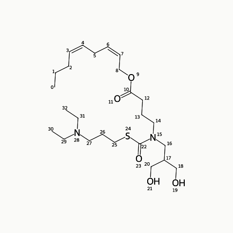 CCC/C=C\C/C=C\COC(=O)CCCN(CC(CO)CO)C(=O)SCCCN(CC)CC